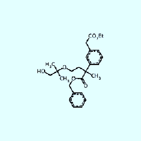 CCOC(=O)Cc1cccc(C(C)(CCOC(C)(C)CO)C(=O)OCc2ccccc2)c1